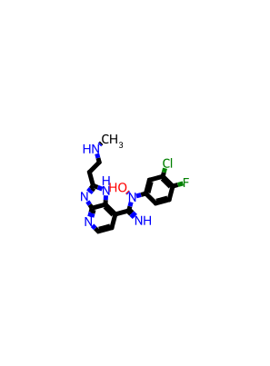 CNCCc1nc2nccc(C(=N)N(O)c3ccc(F)c(Cl)c3)c2[nH]1